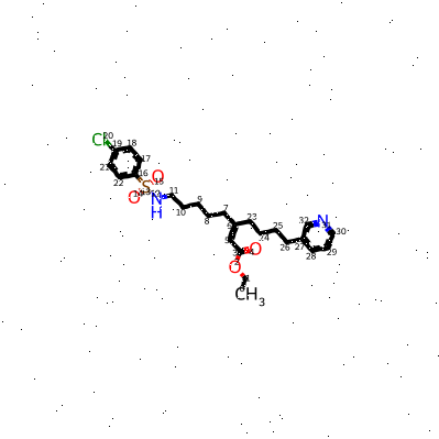 CCOC(=O)C=C(CCCCCNS(=O)(=O)c1ccc(Cl)cc1)CCCCc1cccnc1